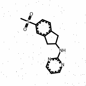 CS(=O)(=O)c1ccc2c(c1)CC(Nc1nc[c]cn1)C2